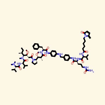 C=C1C=CC(=O)N1CCCCCC(=O)NC(C(=O)N[C@@H](CCCNC(N)=O)C(=O)Nc1ccc(CNc2ccc(NC(=O)[C@H](Cc3ccccc3)NC(=O)[C@H](C)[C@@H](OC)[C@@H]3CCCN3C(=O)C[C@@H](OC)[C@H]([C@@H](C)CC)N(C)C(=O)[C@@H](NC(=O)[C@H](C(C)C)N(C)C)C(C)C)cc2)cc1)C(C)C